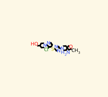 C[C@@H]1OCC2(CCN(c3cnc(Sc4ccnc(N5CCC(CO)CC5)c4Cl)cn3)CC2)[C@@H]1N